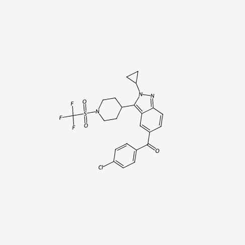 O=C(c1ccc(Cl)cc1)c1ccc2nn(C3CC3)c(C3CCN(S(=O)(=O)C(F)(F)F)CC3)c2c1